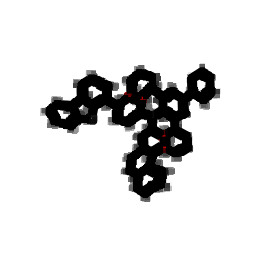 c1ccc(-c2cc(-c3ccccc3)c(N(c3ccc(-c4cccc5c4oc4ccccc45)cc3)c3ccc4c(ccc5ccccc54)c3)c(-c3ccccc3)c2)cc1